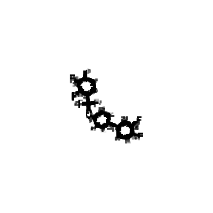 Cc1ccc(C(F)(F)Oc2ccc(-c3ccc(F)c(F)c3)cc2)c(F)c1F